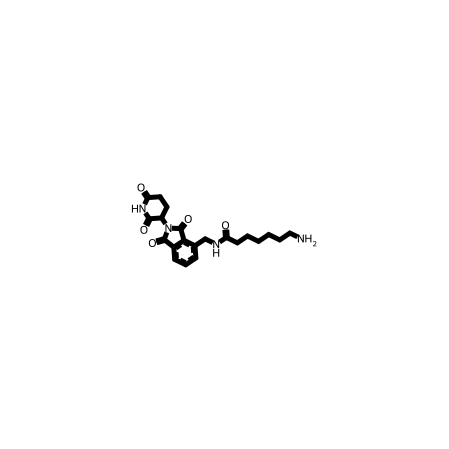 NCCCCCCC(=O)NCc1cccc2c1C(=O)N(C1CCC(=O)NC1=O)C2=O